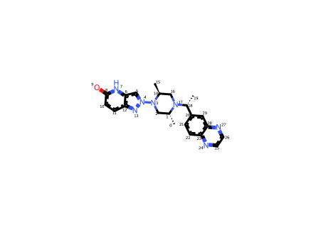 C[C@@H]1CN(n2cc3[nH]c(=O)ccc3n2)[C@@H](C)CN1[C@H](C)c1ccc2nccnc2c1